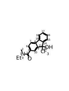 CCN(C)C(=O)c1ccc2c(c1)C(O)(C(F)(F)F)c1ccccc1-2